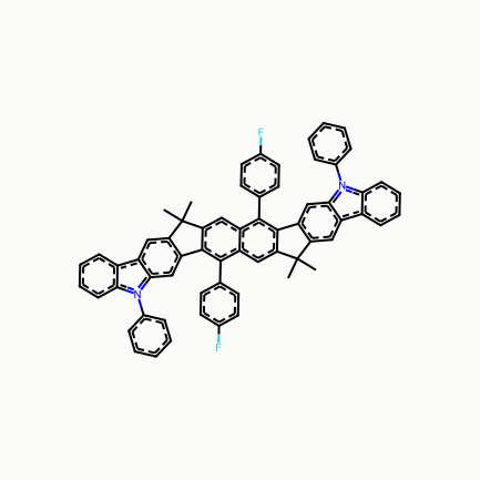 CC1(C)c2cc3c4ccccc4n(-c4ccccc4)c3cc2-c2c1cc1c(-c3ccc(F)cc3)c3c(cc1c2-c1ccc(F)cc1)C(C)(C)c1cc2c4ccccc4n(-c4ccccc4)c2cc1-3